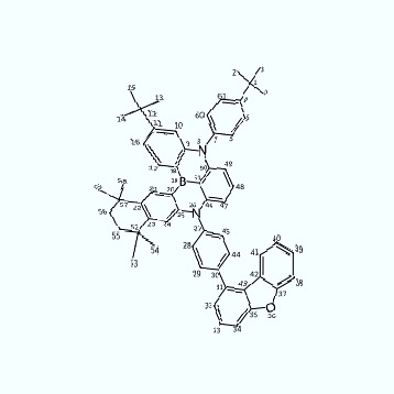 CC(C)(C)c1ccc(N2c3cc(C(C)(C)C)ccc3B3c4cc5c(cc4N(c4ccc(-c6cccc7oc8ccccc8c67)cc4)c4cccc2c43)C(C)(C)CCC5(C)C)cc1